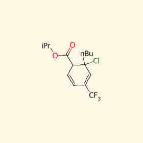 CCCCC1(Cl)C=C(C(F)(F)F)C=CC1C(=O)OC(C)C